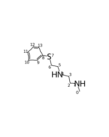 CNCCNCCSc1ccccc1